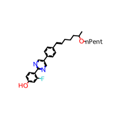 CCCCCOC(C)CCC/C=C/c1ccc(-c2cnc(-c3ccc(O)cc3F)nc2)cc1